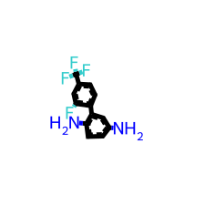 Nc1ccc(N)c(-c2ccc(C(F)(F)F)cc2F)c1